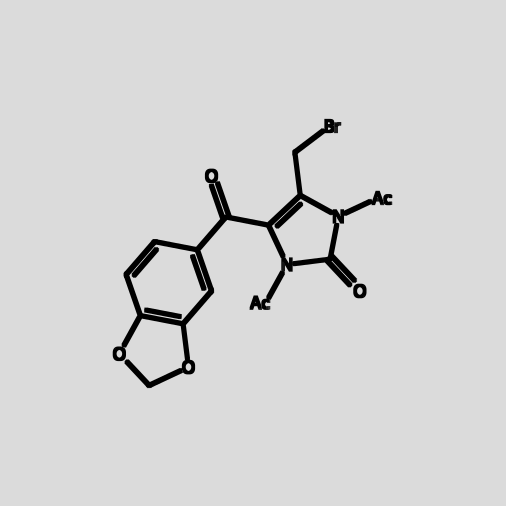 CC(=O)n1c(CBr)c(C(=O)c2ccc3c(c2)OCO3)n(C(C)=O)c1=O